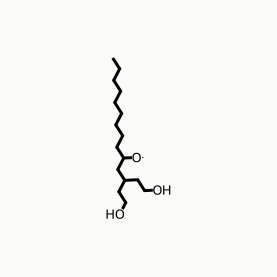 CCCCCCCCCC([O])CC(CCO)CCO